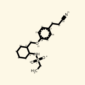 CCS(=O)(=O)NC1CCCCC1COc1ccc(CCC#N)cc1